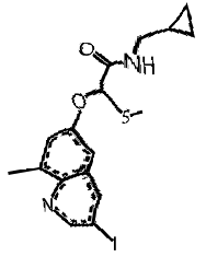 CSC(Oc1cc(C)c2ncc(I)cc2c1)C(=O)NCC1CC1